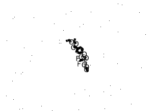 CCOC(C)OC(=O)c1ccc(OS(=O)(=O)C(SOOOC)=C(F)F)cc1